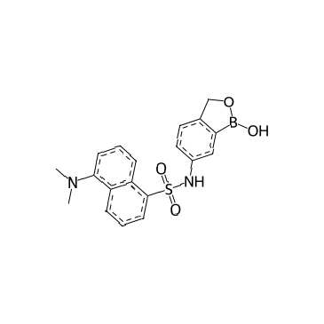 CN(C)c1cccc2c(S(=O)(=O)Nc3ccc4c(c3)B(O)OC4)cccc12